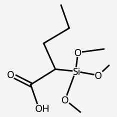 CCCC(C(=O)O)[Si](OC)(OC)OC